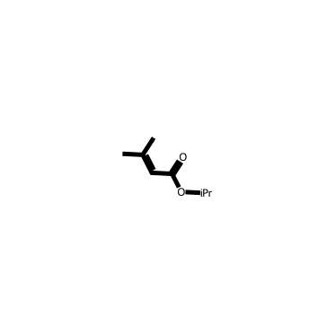 CC(C)=CC(=O)OC(C)C